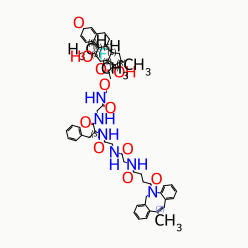 C/C1=C/c2ccccc2N(C(=O)CCC(=O)NCC(=O)NCC(=O)N[C@@H](Cc2ccccc2)C(=O)NCC(=O)NCOCC(=O)[C@@]2(O)[C@H](C)C[C@H]3[C@@H]4CCC5=CC(=O)C=C[C@]5(C)[C@@]4(F)[C@@H](O)C[C@@]32C)Cc2ccccc21